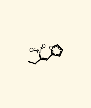 CCC(=Cc1ccco1)[N+](=O)[O-]